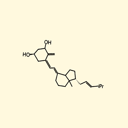 C=C1/C(=C\C=C2/CCCC3(C)C2CC[C@@H]3C/C=C/C(C)C)C[C@@H](O)CC1O